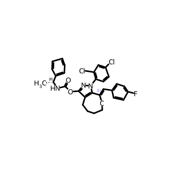 C[C@@H](NC(=O)Oc1nn(-c2ccc(Cl)cc2Cl)c2c1CCCCC/C2=C\c1ccc(F)cc1)c1ccccc1